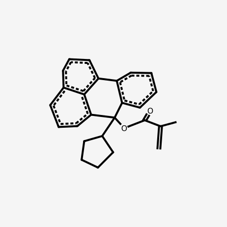 C=C(C)C(=O)OC1(C2CCCC2)c2ccccc2-c2cccc3cccc1c23